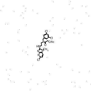 CC(=O)OCC(=O)N(CCNc1nc2nc(Cl)ccc2n1C)Cc1cc(Cl)cc(Cl)c1